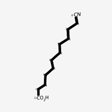 N#CCCCCCCCCCCC(=O)O